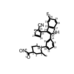 CC1CC(C(=O)N=O)CCN1c1cccc(-c2[nH]c3ccc(F)cc3c2-c2ccsc2C#N)c1